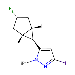 CC(C)n1nc(I)cc1[C@H]1[C@@H]2C[C@H](F)C[C@@H]21